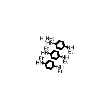 CCNc1ccc(NCC)cc1.CCNc1ccc(NCC)cc1.CCNc1ccc(NCC)cc1.N